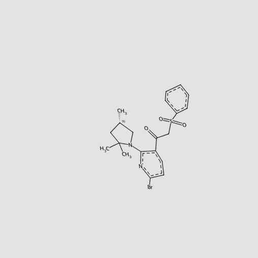 C[C@@H]1CN(c2nc(Br)ccc2C(=O)CS(=O)(=O)c2ccccc2)C(C)(C)C1